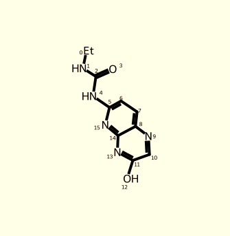 CCNC(=O)Nc1ccc2ncc(O)nc2n1